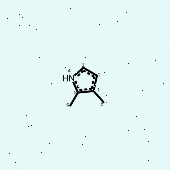 [CH2]c1cc[nH]c1C